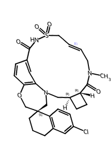 CN1C/C=C/CS(=O)(=O)NC(=O)c2ccc3c(c2)N(C[C@@H]2CC[C@H]2C1=O)C[C@@]1(CCCc2cc(Cl)ccc21)CO3